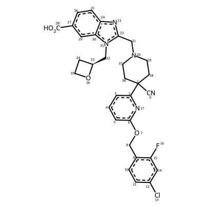 N#CC1(c2cccc(OCc3ccc(Cl)cc3F)n2)CCN(Cc2nc3ccc(C(=O)O)cc3n2C[C@@H]2CCO2)CC1